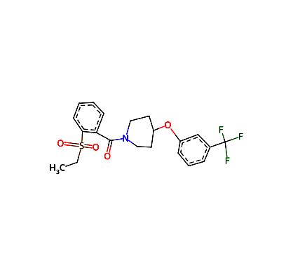 CCS(=O)(=O)c1ccccc1C(=O)N1CCC(Oc2cccc(C(F)(F)F)c2)CC1